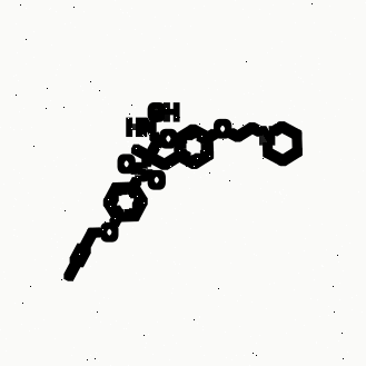 CC#CCOc1ccc(S(=O)(=O)C(C)(Cc2ccc(OCCN3CCCCC3)cc2)C(=O)NO)cc1